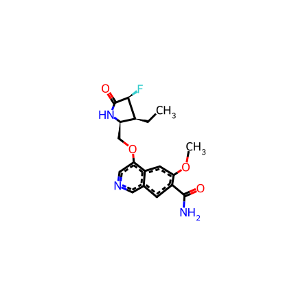 CC[C@@H]1[C@H](F)C(=O)N[C@@H]1COc1cncc2cc(C(N)=O)c(OC)cc12